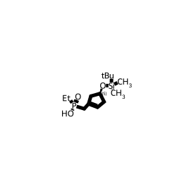 CCP(=O)(O)CC1=CC[C@H](O[Si](C)(C)C(C)(C)C)C1